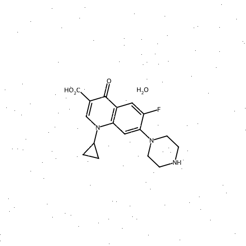 O.O=C(O)c1cn(C2CC2)c2cc(N3CCNCC3)c(F)cc2c1=O